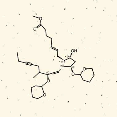 CCC#CCC(C)[C@@H](C=C[C@@H]1[C@@H](CC=CCCCC(=O)OC)[C@@H](O)C[C@H]1OC1CCCCO1)OC1CCCCO1